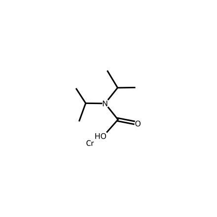 CC(C)N(C(=O)O)C(C)C.[Cr]